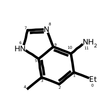 CCc1cc(C)c2[nH]cnc2c1N